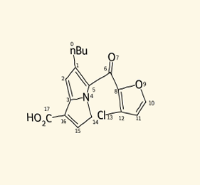 CCCCc1cc2n(c1C(=O)c1occc1Cl)CC=C2C(=O)O